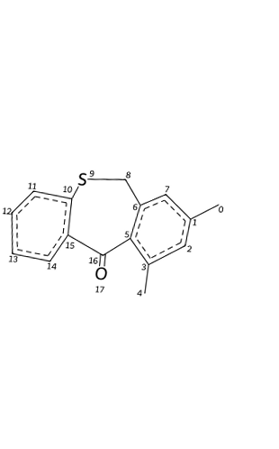 Cc1cc(C)c2c(c1)CSc1ccccc1C2=O